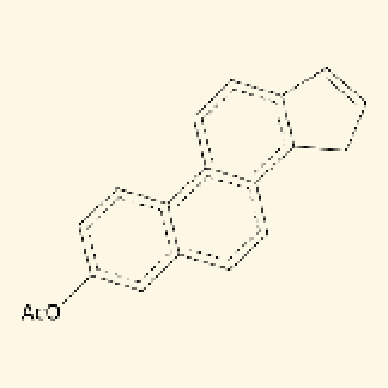 CC(=O)Oc1ccc2c(ccc3c4c(ccc32)C=CC4)c1